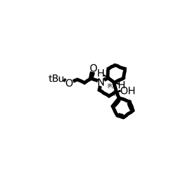 CC(C)(C)OCCC(=O)N1CC[C@@](O)(c2ccccc2)[C@@H]2CCCC[C@@H]21